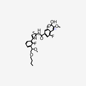 CCCCOCC(OC)c1cccc(-c2csc(NC(=O)c3cc(F)c(/C=C(/OC)C(=O)O)c(F)c3)n2)c1F